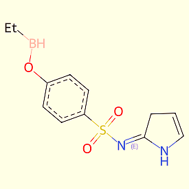 CCBOc1ccc(S(=O)(=O)/N=C2\CC=CN2)cc1